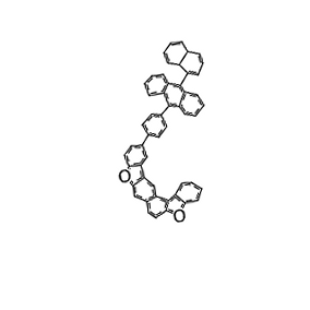 C1=CC2C=CC=C(c3c4ccccc4c(-c4ccc(-c5ccc6oc7cc8ccc9oc%10ccccc%10c9c8cc7c6c5)cc4)c4ccccc34)C2C=C1